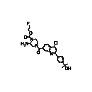 CC(C)(O)c1ccc(-c2cc(Cl)c3ccc(C(=O)N4CCN(C(=O)OCCF)[C@H](N)C4)cc3n2)cc1